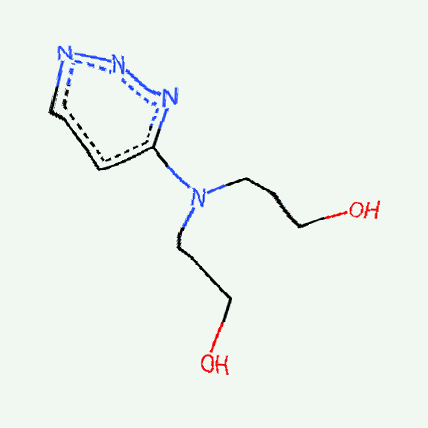 OCCN(CCO)c1ccnnn1